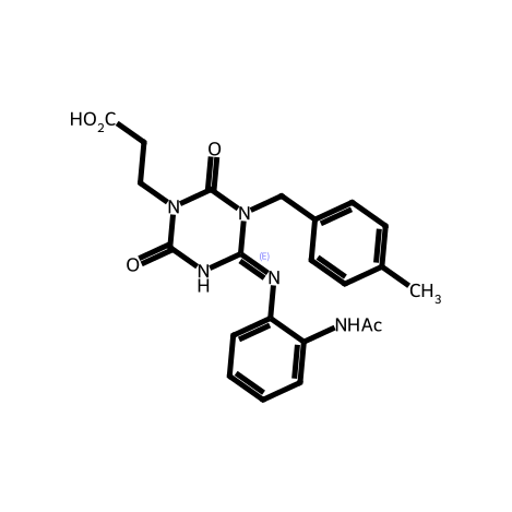 CC(=O)Nc1ccccc1/N=c1\[nH]c(=O)n(CCC(=O)O)c(=O)n1Cc1ccc(C)cc1